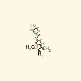 COc1cc(/C=C/c2ccc(Cl)cn2)ccc1C(C)C